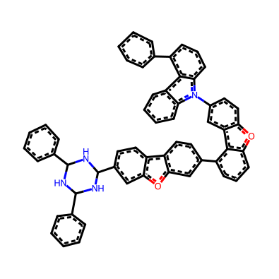 c1ccc(-c2cccc3c2c2ccccc2n3-c2ccc3oc4cccc(-c5ccc6c(c5)oc5cc(C7NC(c8ccccc8)NC(c8ccccc8)N7)ccc56)c4c3c2)cc1